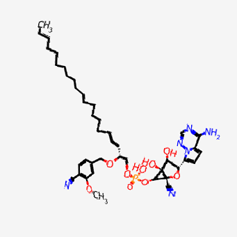 CCCCCCCCCCCCCCCCCCC[C@H](COP(=O)(O)OC1[C@@]2(C#N)O[C@@H](c3ccc4c(N)ncnn34)[C@H](O)[C@@]12O)OCc1ccc(C#N)c(OC)c1